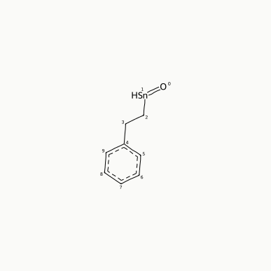 [O]=[SnH][CH2]Cc1ccccc1